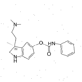 CN(C)CC[C@]1(C)CNc2ccc(OC(=O)Nc3ccccc3)cc21